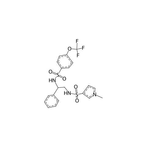 Cn1ccc(S(=O)(=O)NCC(NS(=O)(=O)c2ccc(OC(F)(F)F)cc2)c2ccccc2)c1